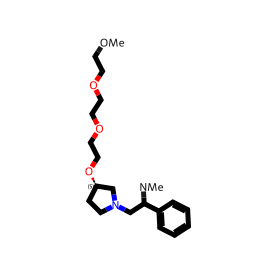 CNC(CN1CC[C@H](OCCOCCOCCOC)C1)c1ccccc1